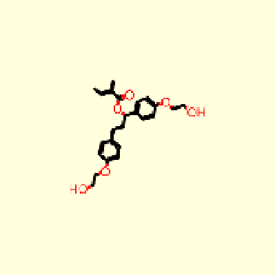 CC=C(C)C(=O)OC(CCc1ccc(OCCO)cc1)c1ccc(OCCO)cc1